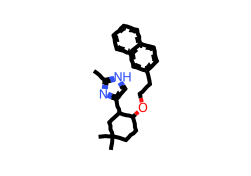 Cc1nc(C2CC(C)(C)CCC2OCCc2ccc3ccccc3c2)c[nH]1